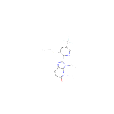 CCSc1cc(C(F)(F)F)cnc1-c1nc2ccc(=O)n(C)c2n1C